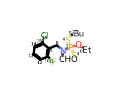 CCOP(=S)(SC(C)CC)N(C=O)Cc1c(F)cccc1Cl